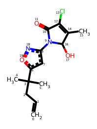 C=CCC(C)(C)c1cc(N2C(=O)C(Cl)=C(C)C2O)no1